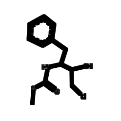 COC(=O)NC(Cc1ccccc1)C(O)CCl